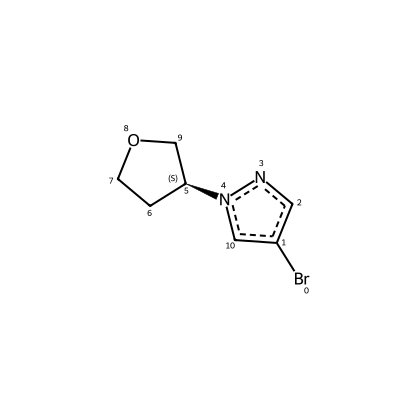 Brc1cnn([C@H]2CCOC2)c1